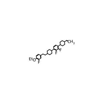 C=CC1CCC(c2ccc(C3CCC(CCc4ccc(OCC)c(F)c4)CC3)c(F)c2F)CC1